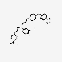 CC(=O)N1CCC(CCC(=O)N(CCCN2CCC(Cc3ccc(S(C)(=O)=O)cc3)CC2)c2ccc(Cl)c(Cl)c2)CC1